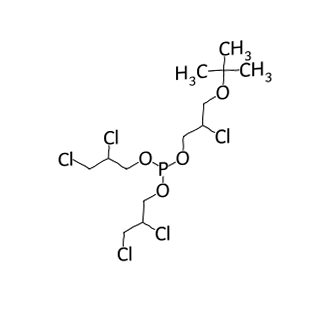 CC(C)(C)OCC(Cl)COP(OCC(Cl)CCl)OCC(Cl)CCl